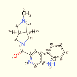 CN1C[C@@H]2CN(C(=O)c3cc4c(cn3)[nH]c3ccccc34)C[C@@H]2C1